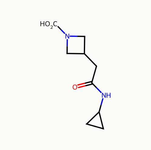 O=C(CC1CN(C(=O)O)C1)NC1CC1